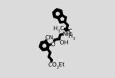 CCOC(=O)CCCc1cccc(C#N)c1OCC(O)CNC(C)(C)CC1Cc2ccccc2C1